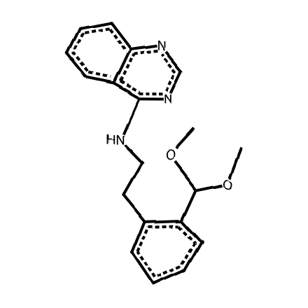 COC(OC)c1ccccc1CCNc1ncnc2ccccc12